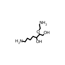 NCCCCC(O)C(CO)OCCN